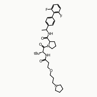 CC(NC(=O)C1CCCN1C(=O)[C@@H](NC(=O)CCOCCCN1CCCC1)C(C)(C)C)c1ccc(-c2c(F)cccc2F)cc1